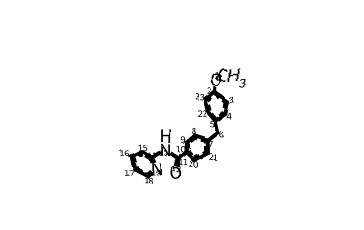 COc1ccc(Cc2ccc(C(=O)Nc3ccccn3)cc2)cc1